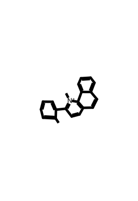 Cc1ccccc1-c1ccc2ccc3ccccc3c2[n+]1C